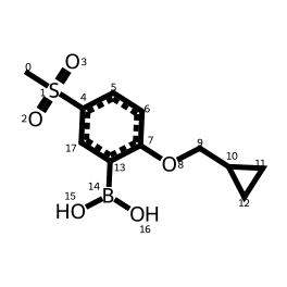 CS(=O)(=O)c1ccc(OCC2CC2)c(B(O)O)c1